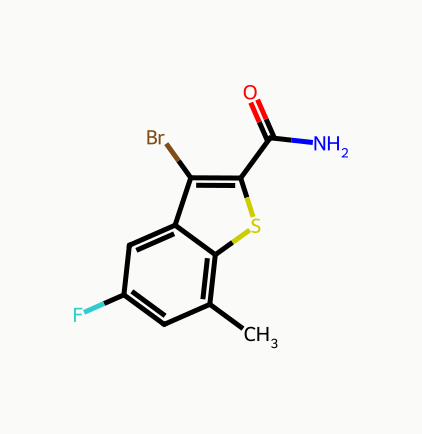 Cc1cc(F)cc2c(Br)c(C(N)=O)sc12